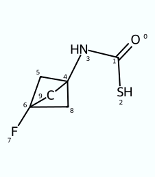 O=C(S)NC12CC(F)(C1)C2